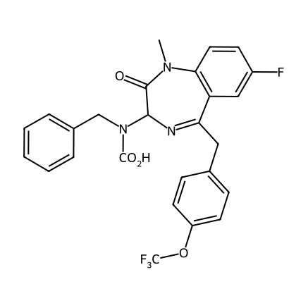 CN1C(=O)C(N(Cc2ccccc2)C(=O)O)N=C(Cc2ccc(OC(F)(F)F)cc2)c2cc(F)ccc21